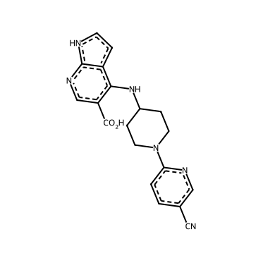 N#Cc1ccc(N2CCC(Nc3c(C(=O)O)cnc4[nH]ccc34)CC2)nc1